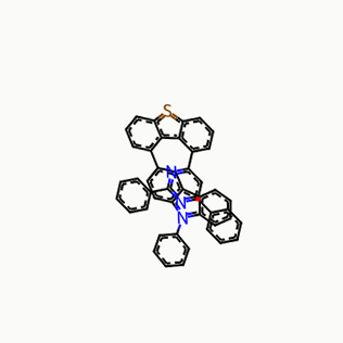 c1ccc(-c2cc(-c3cccc4sc5cccc(-c6ccc7c(c6)c6ccccc6n7-c6ccccc6)c5c34)nc(-c3ccccc3)n2)cc1